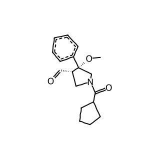 CO[C@]1(c2ccccc2)CN(C(=O)C2CCCC2)C[C@@H]1C=O